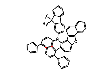 CC1(C)c2ccccc2-c2ccc(N(c3ccc(-c4ccccc4)cc3)c3c(-c4ccccc4-c4ccccc4)ccc4oc5c6ccccc6ccc5c34)cc21